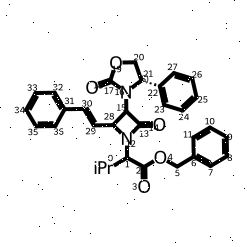 CC(C)C(C(=O)OCc1ccccc1)N1C(=O)C(N2C(=O)OC[C@@H]2c2ccccc2)C1C=Cc1ccccc1